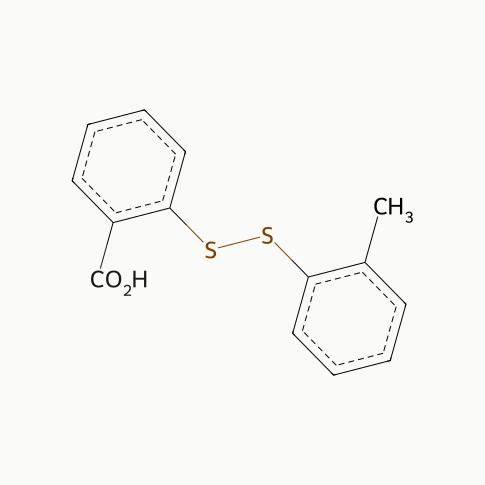 Cc1ccccc1SSc1ccccc1C(=O)O